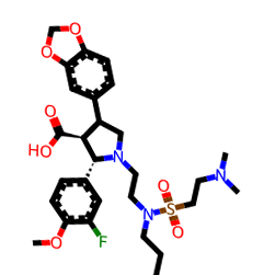 CCCN(CCN1CC(c2ccc3c(c2)OCO3)[C@H](C(=O)O)[C@H]1c1ccc(OC)c(F)c1)S(=O)(=O)CCN(C)C